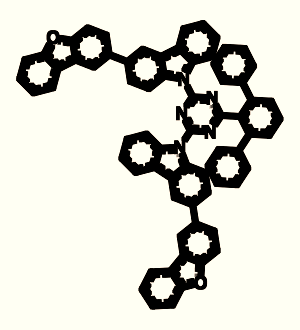 c1ccc(-c2cccc(-c3ccccc3)c2-c2nc(-n3c4ccccc4c4cc(-c5ccc6oc7ccccc7c6c5)ccc43)nc(-n3c4ccccc4c4cc(-c5ccc6oc7ccccc7c6c5)ccc43)n2)cc1